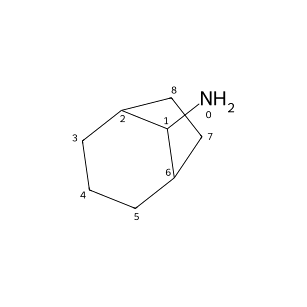 NC1C2CCCC1CC2